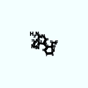 Nc1ncc(-c2cccnc2CF)c2nncn12